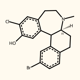 CN1CCc2cc(Cl)c(O)cc2C2c3cc(Br)ccc3CC[C@@H]21